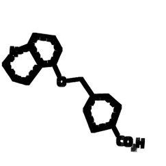 O=C(O)c1ccc(COc2cccc3ncccc23)cc1